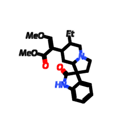 CCC1CN2CCC3(C(=O)Nc4ccccc43)C2CC1C(=COC)C(=O)OC